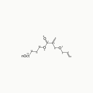 C=CCOCC(=C)C(=O)OCCCCCCCCCCC